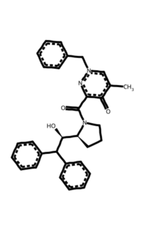 Cc1cn(Cc2ccccc2)nc(C(=O)N2CCC[C@H]2[C@H](O)C(c2ccccc2)c2ccccc2)c1=O